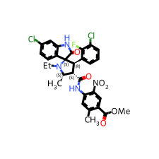 CCN1[C@@H](C)[C@@H](C(=O)Nc2cc(C)c(C(=O)OC)cc2[N+](=O)[O-])[C@H](c2cccc(Cl)c2F)[C@]12C(=O)Nc1cc(Cl)ccc12